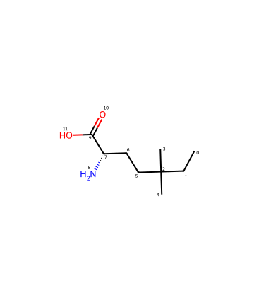 CCC(C)(C)CC[C@H](N)C(=O)O